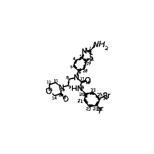 Nc1nc2ccc(N(CCN3CCOCC3=O)C(=O)Nc3ccc(F)c(Br)c3)cc2s1